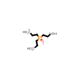 CCCCCCCCCCP(=O)(CCC(=O)O)CCC(=O)O